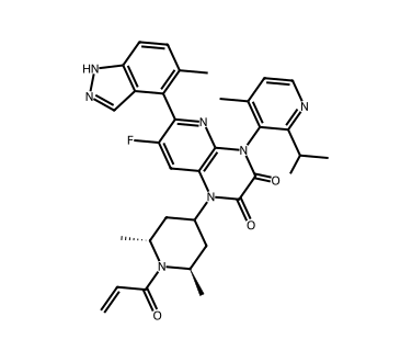 C=CC(=O)N1[C@H](C)CC(n2c(=O)c(=O)n(-c3c(C)ccnc3C(C)C)c3nc(-c4c(C)ccc5[nH]ncc45)c(F)cc32)C[C@H]1C